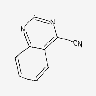 N#Cc1n[c]nc2ccccc12